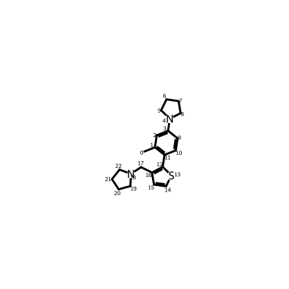 Cc1cc(N2CCCC2)ccc1-c1sccc1CN1CCCC1